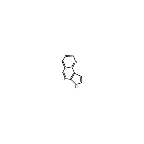 c1cnc2c(c1)cnc1[nH]ccc12